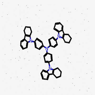 c1ccc2c(c1)c1c(n2-c2ccc(N(c3ccc(-n4c5c(c6ccccc64)CCCC5)cc3)c3ccc(-n4c5c(c6ccccc64)CCCC5)cc3)cc2)CCCC1